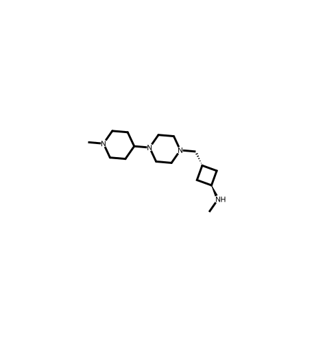 CN[C@H]1C[C@H](CN2CCN(C3CCN(C)CC3)CC2)C1